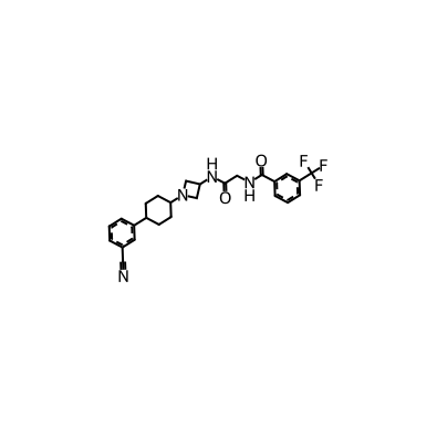 N#Cc1cccc(C2CCC(N3CC(NC(=O)CNC(=O)c4cccc(C(F)(F)F)c4)C3)CC2)c1